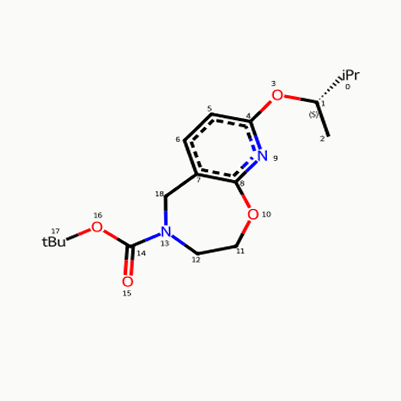 CC(C)[C@H](C)Oc1ccc2c(n1)OCCN(C(=O)OC(C)(C)C)C2